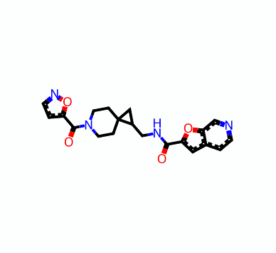 O=C(NCC1CC12CCN(C(=O)c1ccno1)CC2)c1cc2ccncc2o1